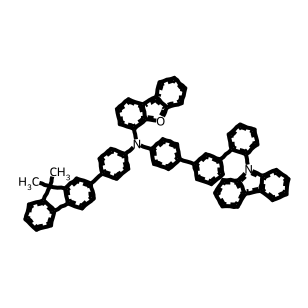 CC1(C)c2ccccc2-c2ccc(-c3ccc(N(c4ccc(-c5cccc(-c6ccccc6-n6c7ccccc7c7ccccc76)c5)cc4)c4cccc5c4oc4ccccc45)cc3)cc21